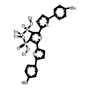 CCOP(=O)(OCC)c1c(-c2ccc(-c3ccc(C(C)(C)C)cc3)s2)sc(-c2ccc(-c3ccc(C(C)(C)C)cc3)s2)c1P(=O)(OCC)OCC